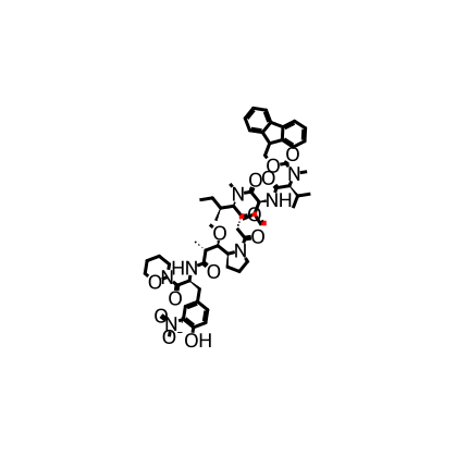 CC[C@H](C)[C@@H]([C@@H](CC(=O)N1CCC[C@H]1[C@H](OC)[C@@H](C)C(=O)N[C@@H](Cc1ccc(O)c([N+](=O)[O-])c1)C(=O)N1CCCCO1)OC)N(C)C(=O)[C@@H](NC(=O)[C@H](C(C)C)N(C)C(=O)OCC1c2ccccc2-c2ccccc21)C(C)C